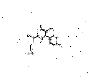 C/C=C(\N)C(NC(=O)C(CC)CCC1CC1)c1ccc(F)cc1